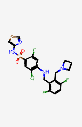 O=S(=O)(Nc1cscn1)c1cc(Cl)c(NCc2c(F)ccc(F)c2CN2CCC2)cc1F